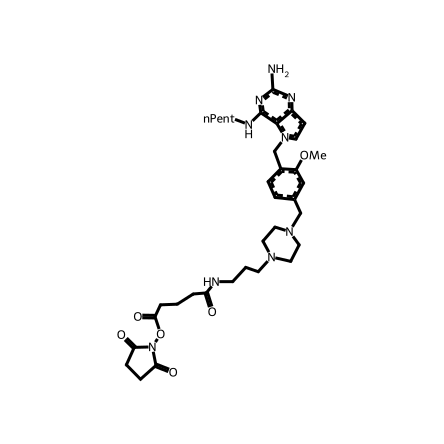 CCCCCNc1nc(N)nc2ccn(Cc3ccc(CN4CCN(CCCNC(=O)CCCC(=O)ON5C(=O)CCC5=O)CC4)cc3OC)c12